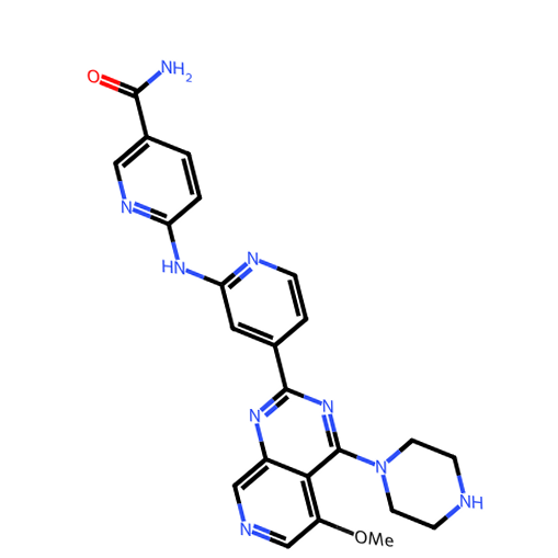 COc1cncc2nc(-c3ccnc(Nc4ccc(C(N)=O)cn4)c3)nc(N3CCNCC3)c12